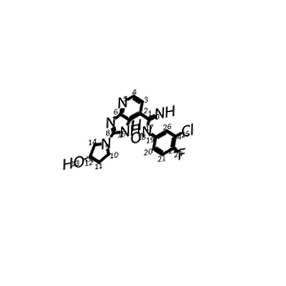 N=C(c1ccnc2nc(N3CC[C@H](O)C3)[nH]c12)N(O)c1ccc(F)c(Cl)c1